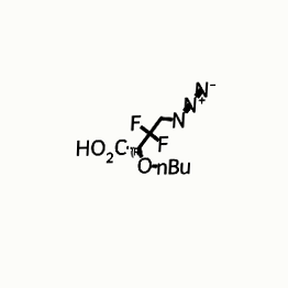 CCCCO[C@H](C(=O)O)C(F)(F)CN=[N+]=[N-]